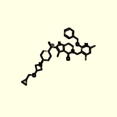 Cc1cc(C)c(CN2CCc3sc([C@H](C)[C@H]4CC[C@H](N5CC(OCC6CC6)C5)CC4)c(C)c3C2=O)c(OCc2ccccc2)n1